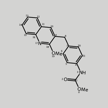 COC(=O)Nc1ccc(Cc2cc3ccccc3nc2OC)cc1